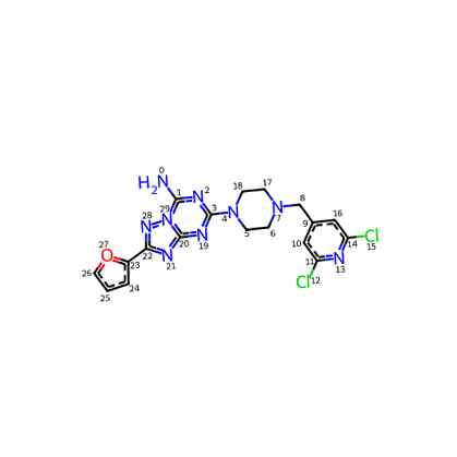 Nc1nc(N2CCN(Cc3cc(Cl)nc(Cl)c3)CC2)nc2nc(-c3ccco3)nn12